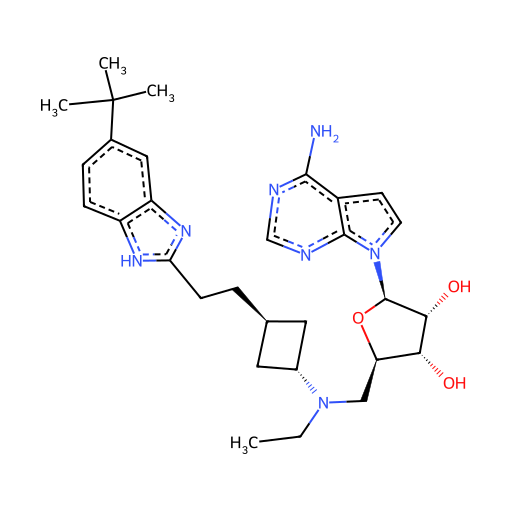 CCN(C[C@H]1O[C@@H](n2ccc3c(N)ncnc32)[C@H](O)[C@@H]1O)[C@H]1C[C@H](CCc2nc3cc(C(C)(C)C)ccc3[nH]2)C1